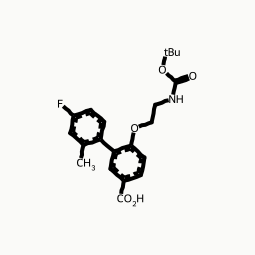 Cc1cc(F)ccc1-c1cc(C(=O)O)ccc1OCCNC(=O)OC(C)(C)C